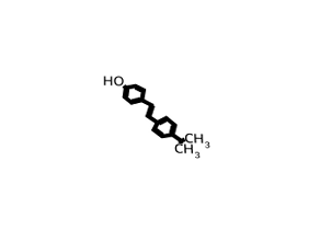 CC(C)c1ccc(C=Cc2ccc(O)cc2)cc1